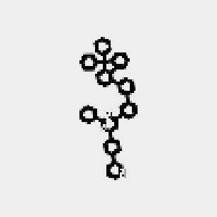 c1ccc(-c2nc(-c3ccc(-c4cccnc4)cc3)cc(-c3cccc(-c4cccc(-c5cccc6c5-c5ccccc5C6(c5ccccc5)c5ccccc5)c4)c3)n2)cc1